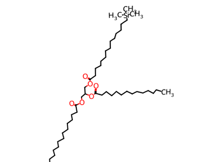 CCCCCCCCCCCCCC(=O)OCC(COC(=O)CCCCCCCCCCCCC[Si](C)(C)C)OC(=O)CCCCCCCCCCCCC